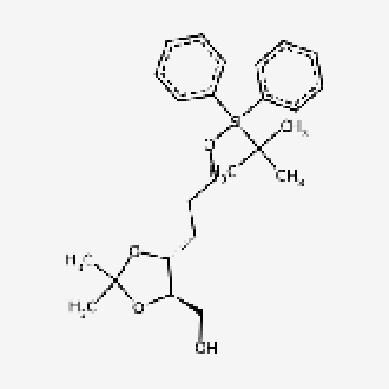 CC1(C)O[C@H](CO)[C@@H](CCCO[Si](c2ccccc2)(c2ccccc2)C(C)(C)C)O1